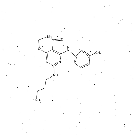 Cc1cccc(Nc2nc(NCCCN)nc3c2C(=O)NCO3)c1